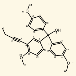 CCC#Cc1cc(C(O)(c2ccc(OC)cc2)c2ccc(OC)cc2)ccc1OC